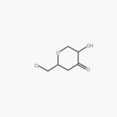 O=C1CC(CCl)OCC1O